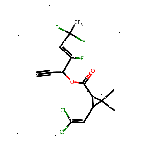 C#CC(OC(=O)C1C(C=C(Cl)Cl)C1(C)C)C(F)=CC(F)(F)C(F)(F)F